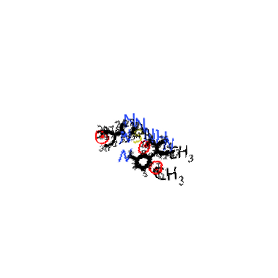 COc1ccc(C#N)cc1-c1cc(C)ncc1C(=O)Nc1nc2ncc(C3CCOCC3)nc2s1